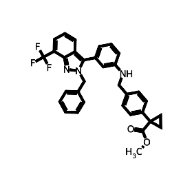 COC(=O)C1(c2ccc(CNc3cccc(-c4c5cccc(C(F)(F)F)c5nn4Cc4ccccc4)c3)cc2)CC1